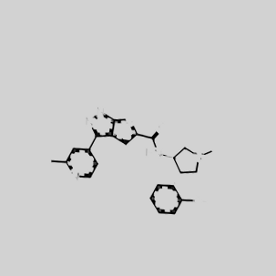 Cc1cc(-c2n[nH]c3sc(C(=O)N[C@H]4CN(C)C[C@@H]4c4ccccc4C(F)(F)F)cc23)ccn1